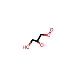 [O]OCC(O)CO